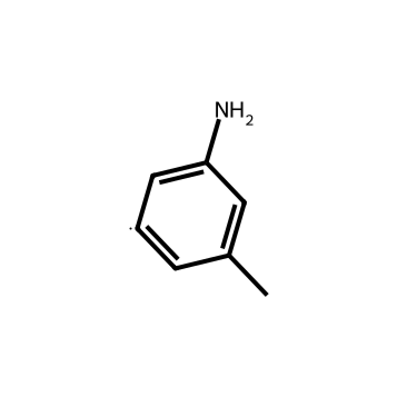 Cc1c[c]cc(N)c1